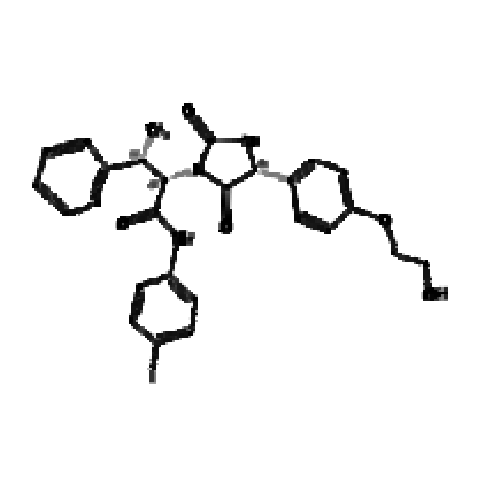 C[C@@H](c1ccccc1)[C@@H](C(=O)Nc1ccc(I)cc1)N1C(=O)N[C@H](c2ccc(OCCO)cc2)C1=O